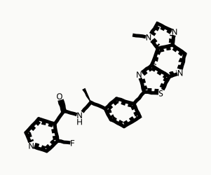 C[C@H](NC(=O)c1ccncc1F)c1cccc(-c2nc3c(ncc4ncn(C)c43)s2)c1